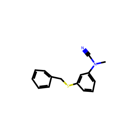 CN(C#N)c1cccc(SCc2ccccc2)c1